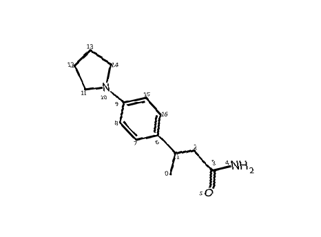 CC(CC(N)=O)c1ccc(N2CCCC2)cc1